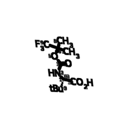 CC(C)(C)[C@H](NC(=O)OC(C)(C)C(F)(F)F)C(=O)O